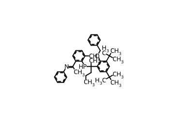 CCCC(C)(Pc1c(C)cccc1/C(C)=N/c1ccccc1)c1cc(C(C)(C)C)cc(C(C)(C)C)c1OCc1ccccc1